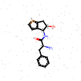 N[C@@H](Cc1ccccc1)C(=O)N[C@H]1c2ccsc2C[C@H]1O